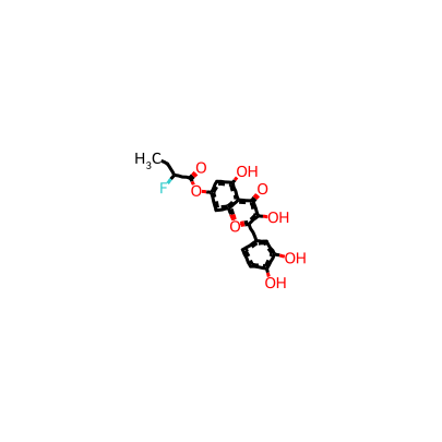 CCC(F)C(=O)Oc1cc(O)c2c(=O)c(O)c(-c3ccc(O)c(O)c3)oc2c1